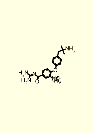 CC(C)(N)Cc1ccc(Oc2ccc(C(=O)N=C(N)N)cc2C(F)(F)F)cc1.Cl.Cl